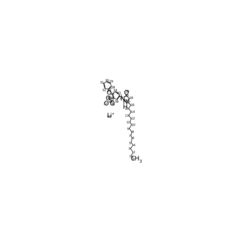 CCCCCCCCCCCCCCCCCc1cc(=O)n(-c2ccc(Oc3ccccc3)c(S(=O)(=O)[O-])c2)[nH]1.[Li+]